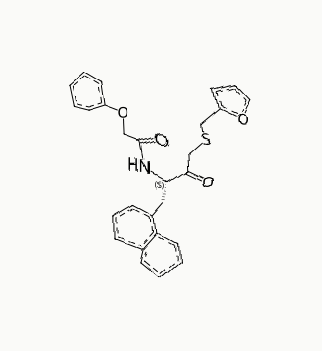 O=C(COc1ccccc1)N[C@@H](Cc1cccc2ccccc12)C(=O)CSCc1ccco1